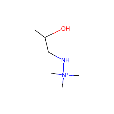 CC(O)CN[N+](C)(C)C